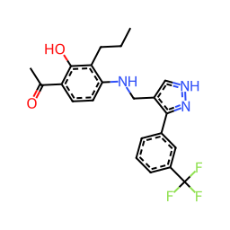 CCCc1c(NCc2c[nH]nc2-c2cccc(C(F)(F)F)c2)ccc(C(C)=O)c1O